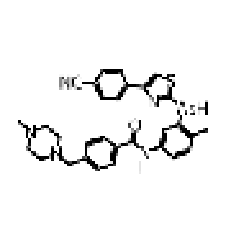 Cc1ccc(NC(=O)c2ccc(CN3CCN(C)CC3)cc2)cc1[AsH]c1nc(-c2ccc(C#N)cc2)cs1